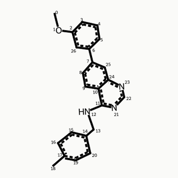 COc1cccc(-c2ccc3c(NCc4ccc(C)cc4)ncnc3c2)c1